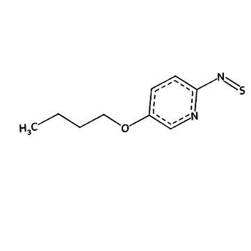 CCCCOc1ccc(N=S)nc1